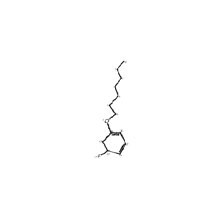 CCCCCCCOC1=CC=C[C](F)C1